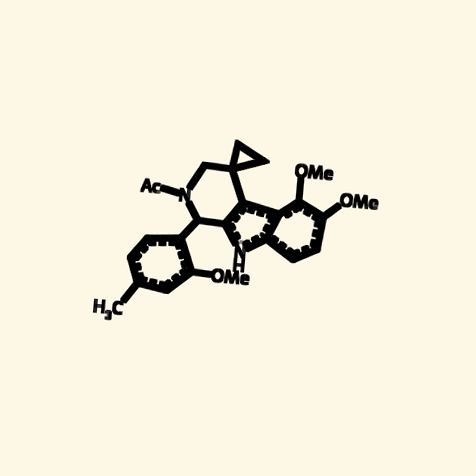 COc1cc(C)ccc1C1c2[nH]c3ccc(OC)c(OC)c3c2C2(CC2)CN1C(C)=O